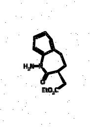 CCOC(=O)C[C@@H]1CCc2ccccc2N(N)C1=O